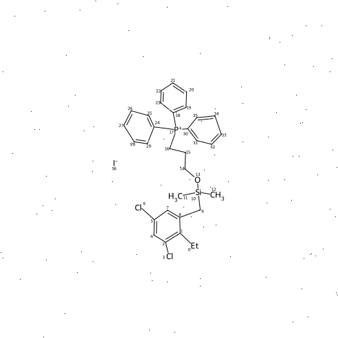 CCc1c(Cl)cc(Cl)cc1C[Si](C)(C)OCCC[P+](c1ccccc1)(c1ccccc1)c1ccccc1.[I-]